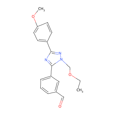 CCOCn1nc(-c2ccc(OC)cc2)nc1-c1cccc(C=O)c1